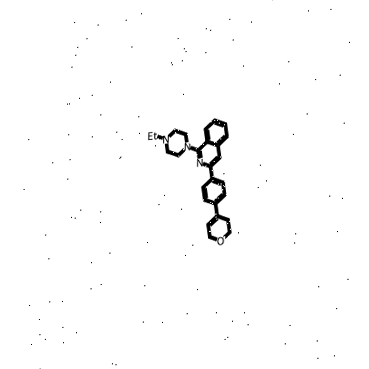 CCN1CCN(c2nc(-c3ccc(C4=CCOCC4)cc3)cc3ccccc23)CC1